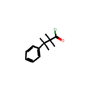 CC(C)(C(=O)Cl)C(C)(C)c1ccccc1